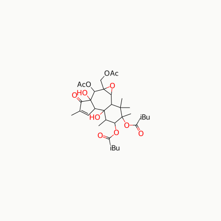 CCC(C)C(=O)OC1C(C)C2(O)C3C=C(C)C(=O)C3(O)C(OC(C)=O)C3(COC(C)=O)OC3C2C(C)(C)C1(C)OC(=O)C(C)CC